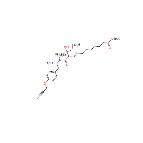 CC#CCOc1ccc(C[C@H](OC(C)=O)N(C(=O)OCC)C(=O)[C@@H](C=CCCCCCCC(=O)CCCCCCC)[C@@](O)(CC(=O)O)C(=O)O)cc1